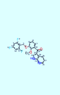 CCOc1c(OCc2c(F)cc(F)cc2F)cccc1C(=O)c1c[nH]c2ncccc12